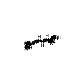 C=CCn1c(=O)c2cnc(Nc3ccc(NCCNC4CCN([C@H]5CC[C@@H](n6ccc7c8c(C9CCC(=O)NC9=O)noc8ccc76)CC5)CC4)cc3)nc2n1-c1ccc2c(n1)[C@@](O)(CC)CC2